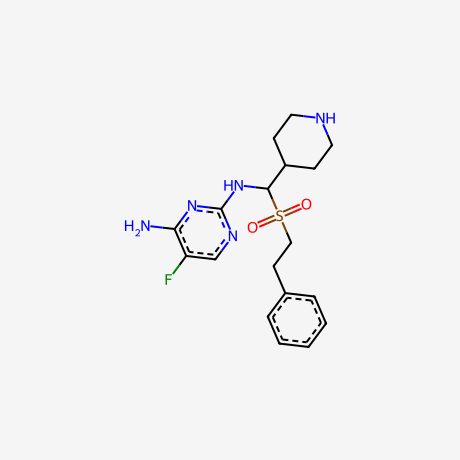 Nc1nc(NC(C2CCNCC2)S(=O)(=O)CCc2ccccc2)ncc1F